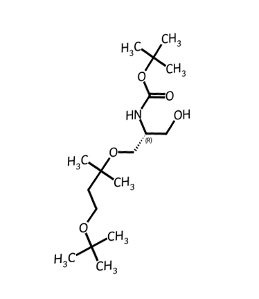 CC(C)(C)OCCC(C)(C)OC[C@@H](CO)NC(=O)OC(C)(C)C